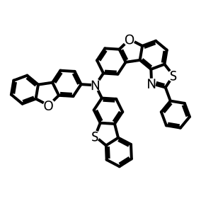 c1ccc(-c2nc3c(ccc4oc5ccc(N(c6ccc7c(c6)oc6ccccc67)c6ccc7c(c6)sc6ccccc67)cc5c43)s2)cc1